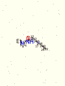 CCN1CCCC1CNC(=O)/C=C(\C)CC/C=C(\C)CCC=C(C)C